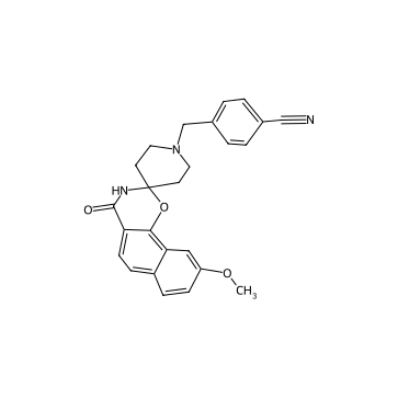 COc1ccc2ccc3c(c2c1)OC1(CCN(Cc2ccc(C#N)cc2)CC1)NC3=O